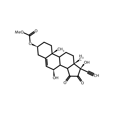 C#C[C@]1(O)C(=O)C(=O)C2C3C(CC[C@@]21C)[C@@]1(C)CC[C@H](OC(=O)OC)CC1=C[C@@H]3O